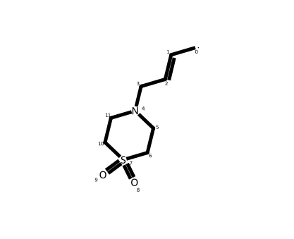 [CH2]/C=C/CN1CCS(=O)(=O)CC1